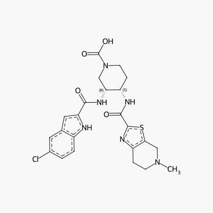 CN1CCc2nc(C(=O)N[C@H]3CCN(C(=O)O)C[C@H]3NC(=O)c3cc4cc(Cl)ccc4[nH]3)sc2C1